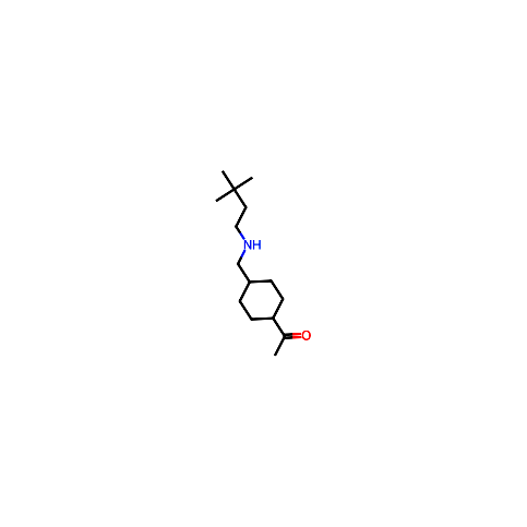 CC(=O)C1CCC(CNCCC(C)(C)C)CC1